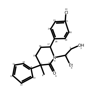 CCC(CO)N1C(=O)C(C)(c2ccccc2)CCC1c1ccc(Cl)cc1